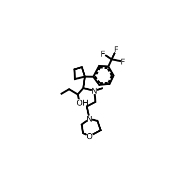 CCC(O)C(N(C)CCN1CCOCC1)C1(c2cccc(C(F)(F)F)c2)CCC1